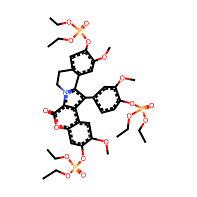 CCOP(=O)(OCC)Oc1ccc(-c2c3n(c4c(=O)oc5cc(OP(=O)(OCC)OCC)c(OC)cc5c24)CCc2cc(OP(=O)(OCC)OCC)c(OC)cc2-3)cc1OC